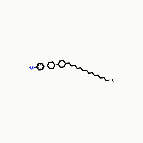 CCCCCCCCCCCCCCCC1CCC([C@H]2CC[C@H](c3ccc(N)cc3)CC2)CC1